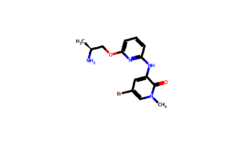 C[C@H](N)COc1cccc(Nc2cc(Br)cn(C)c2=O)n1